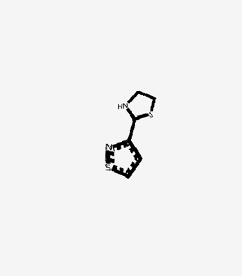 c1cc([C]2NCCS2)ns1